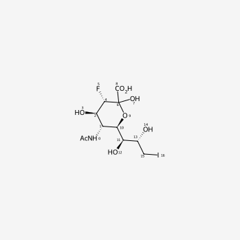 CC(=O)N[C@@H]1[C@@H](O)[C@H](F)C(O)(C(=O)O)O[C@H]1[C@H](O)[C@H](O)CI